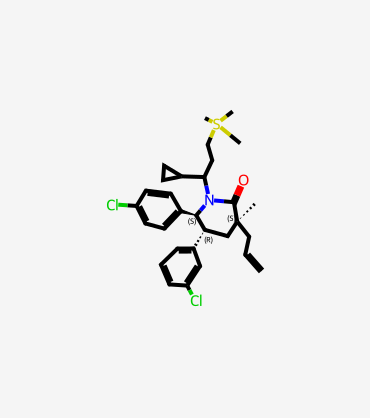 C=CC[C@@]1(C)C[C@H](c2cccc(Cl)c2)[C@@H](c2ccc(Cl)cc2)N(C(CCS(C)(C)C)C2CC2)C1=O